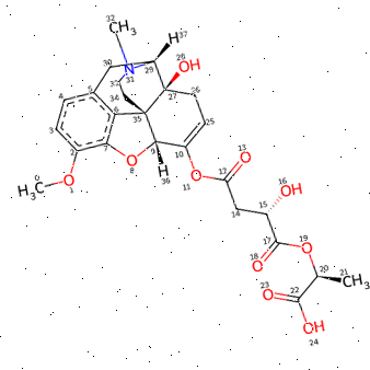 COc1ccc2c3c1O[C@H]1C(OC(=O)C[C@H](O)C(=O)O[C@@H](C)C(=O)O)=CC[C@@]4(O)[C@@H](C2)N(C)CC[C@]314